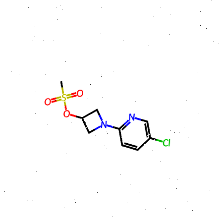 CS(=O)(=O)OC1CN(c2ccc(Cl)cn2)C1